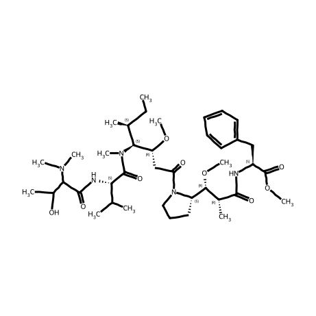 CC[C@H](C)[C@@H]([C@@H](CC(=O)N1CCC[C@H]1[C@H](OC)[C@@H](C)C(=O)N[C@@H](Cc1ccccc1)C(=O)OC)OC)N(C)C(=O)[C@@H](NC(=O)C(C(C)O)N(C)C)C(C)C